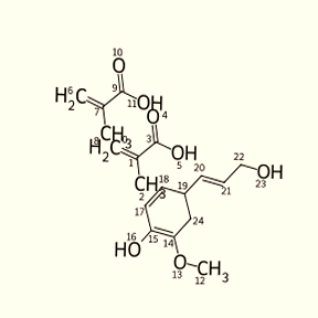 C=C(C)C(=O)O.C=C(C)C(=O)O.COC1=C(O)C=CC(/C=C/CO)C1